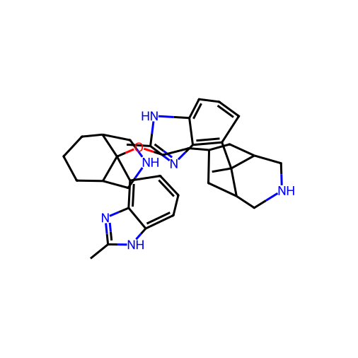 Cc1nc2c(C3(C)C4CNCC3CC(CCOC3(c5cccc6[nH]c(C)nc56)C5CCCC3CNC5)C4)cccc2[nH]1